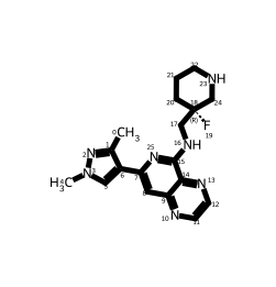 Cc1nn(C)cc1-c1cc2nccnc2c(NC[C@@]2(F)CCCNC2)n1